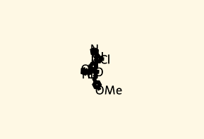 COc1ccc(CCNC(=O)C2CN(c3cc(Cl)nc(-n4ccnc4)n3)CCN2C(=O)C2CCCO2)cc1